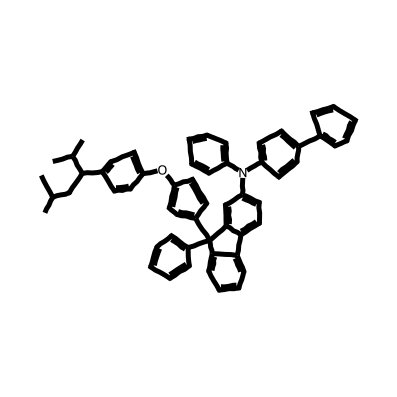 CC(C)CC(c1ccc(Oc2ccc(C3(c4ccccc4)c4ccccc4-c4ccc(N(c5ccccc5)c5ccc(-c6ccccc6)cc5)cc43)cc2)cc1)C(C)C